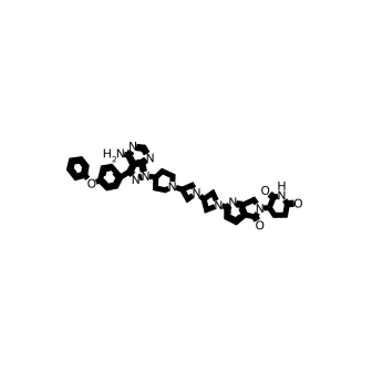 Nc1ncnc2c1c(-c1ccc(Oc3ccccc3)cc1)nn2C1CCN(C2CN(C3CN(c4ccc5c(n4)CN(C4CCC(=O)NC4=O)C5=O)C3)C2)CC1